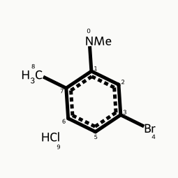 CNc1cc(Br)ccc1C.Cl